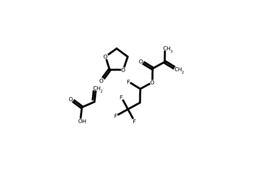 C=C(C)C(=O)OC(F)CC(F)(F)F.C=CC(=O)O.O=C1OCCO1